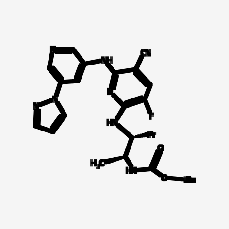 CC(C)[C@@H](Nc1nc(Nc2cncc(-n3cccn3)c2)c(C#N)cc1F)[C@H](C)NC(=O)OC(C)(C)C